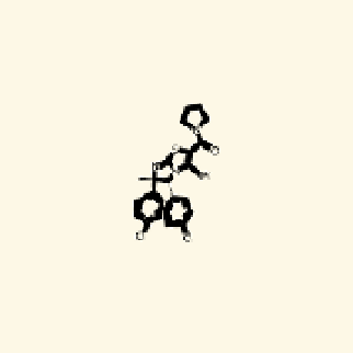 CC(C)C1=C(C(=O)N2CCCC2)SC2=N[C@@](C)(c3ccc(Cl)cc3)[C@@H](c3ccc(Cl)cc3)N21